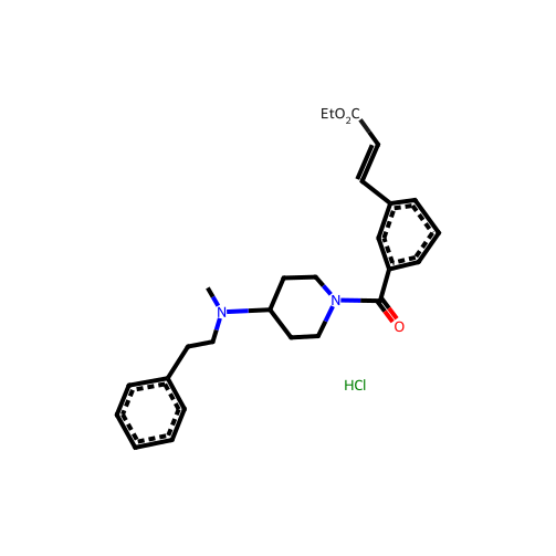 CCOC(=O)C=Cc1cccc(C(=O)N2CCC(N(C)CCc3ccccc3)CC2)c1.Cl